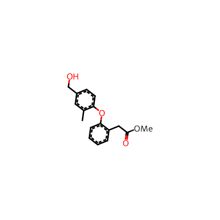 COC(=O)Cc1ccccc1Oc1ccc(CO)cc1C